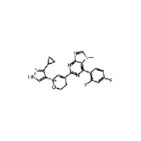 Cn1cnc2nc(C3=C[C@H](c4c[nH]nc4C4CC4)OCC3)nc(-c3ccc(F)cc3F)c21